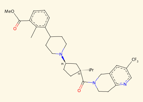 COC(=O)c1cccc(C2CCN([C@@H]3CC[C@@](C(=O)N4CCc5ncc(C(F)(F)F)cc5C4)(C(C)C)C3)CC2)c1C